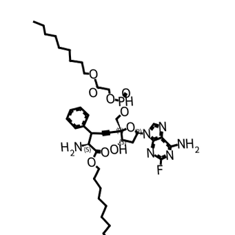 CCCCCCCCCOC(=O)CO[PH](=O)OC[C@@]1(C#CC(c2ccccc2)[C@H](N)C(=O)OCCCCCCCCC)O[C@@H](n2cnc3c(N)nc(F)nc32)C[C@@H]1O